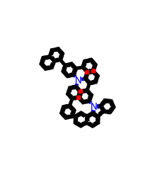 c1ccc(-c2ccc(N(c3ccccc3-c3cccc(-n4c5ccccc5c5ccc6ccccc6c54)c3)c3ccc(-c4cccc5ccccc45)cc3-c3ccccc3)cc2)cc1